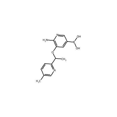 Cc1ccc(C(C)Oc2cc(B(O)O)cnc2N)nc1